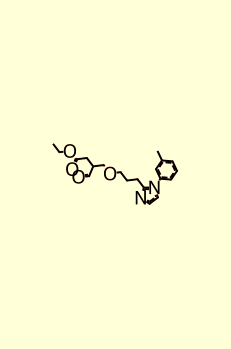 CCOC(=O)CC(C=O)COCCCc1nccn1-c1cccc(C)c1